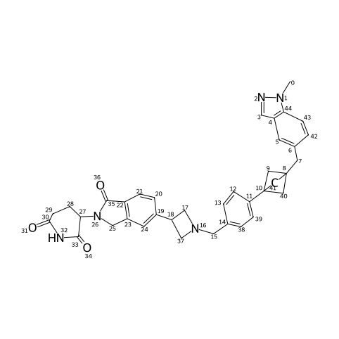 Cn1ncc2cc(CC34CC(c5ccc(CN6CC(c7ccc8c(c7)CN(C7CCC(=O)NC7=O)C8=O)C6)cc5)(C3)C4)ccc21